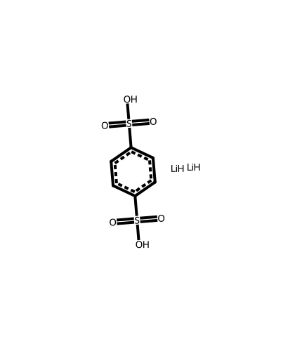 O=S(=O)(O)c1ccc(S(=O)(=O)O)cc1.[LiH].[LiH]